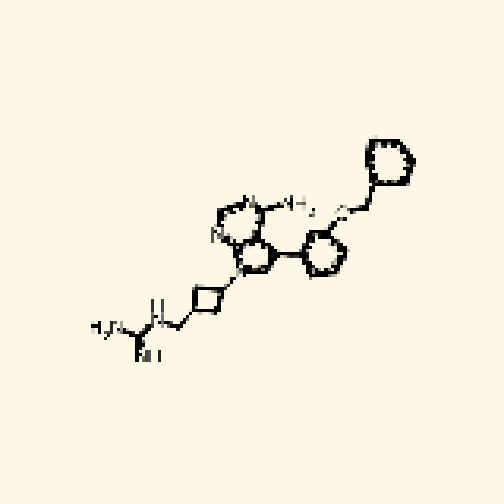 N=C(N)NC[C@H]1C[C@@H](n2cc(-c3cccc(OCc4ccccc4)c3)c3c(N)ncnc32)C1